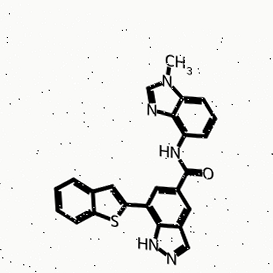 Cn1cnc2c(NC(=O)c3cc(-c4cc5ccccc5s4)c4[nH]ncc4c3)cccc21